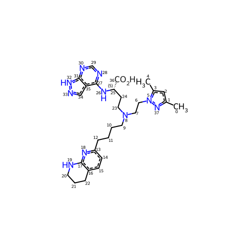 Cc1cc(C)n(CCN(CCCCc2ccc3c(n2)NCCC3)CC[C@H](Nc2ncnc3[nH]ncc23)C(=O)O)n1